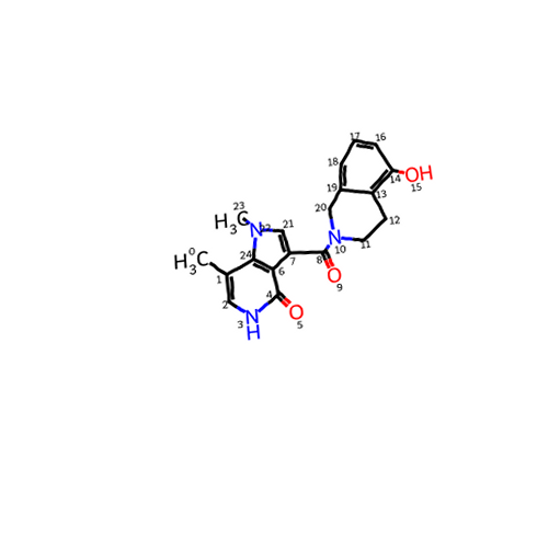 Cc1c[nH]c(=O)c2c(C(=O)N3CCc4c(O)cccc4C3)cn(C)c12